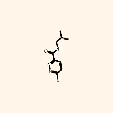 CC(C)CNC(=O)c1ccc(Cl)nn1